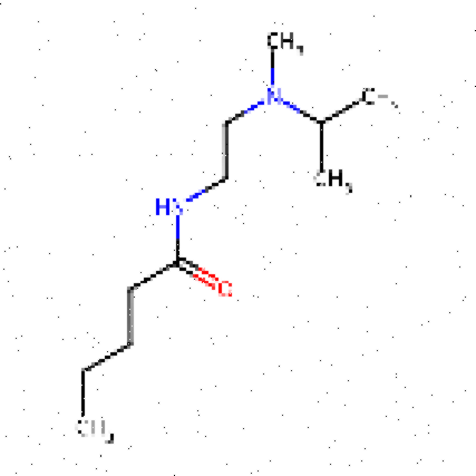 CCCCC(=O)NCCN(C)C(C)C